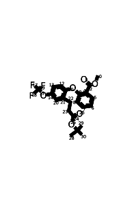 COC(=O)c1ccccc1Oc1ccc(OC(F)(F)F)cc1CCC(=O)OC(C)(C)C